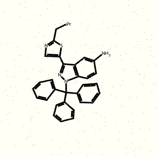 CC(C)Cc1ncc(-c2nn(C(c3ccccc3)(c3ccccc3)c3ccccc3)c3ccc(N)cc23)s1